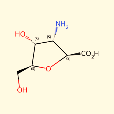 N[C@H]1[C@@H](O)[C@H](CO)O[C@@H]1C(=O)O